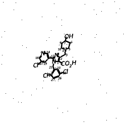 O=C(O)c1c(CN2CCC(O)CC2)nc(-c2cncc(Cl)c2)n1Cc1cc(Cl)ccc1Cl